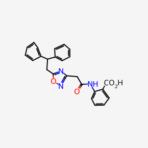 O=C(Cc1noc(CC(c2ccccc2)c2ccccc2)n1)Nc1ccccc1C(=O)O